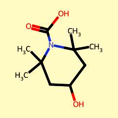 CC1(C)CC(O)CC(C)(C)N1C(=O)O